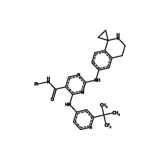 CC(C)NC(=O)c1cnc(Nc2ccc3c(c2)CCNC32CC2)nc1Nc1ccnc(C(C)(C)C(F)(F)F)c1